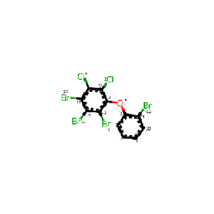 Clc1c(Cl)c(Oc2ccccc2Br)c(Br)c(Br)c1Br